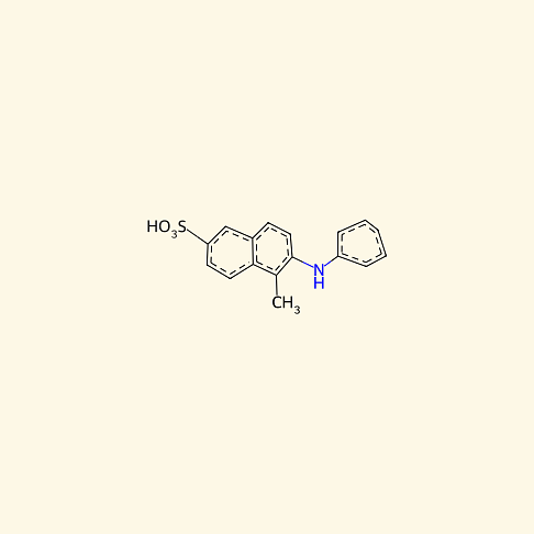 Cc1c(Nc2ccccc2)ccc2cc(S(=O)(=O)O)ccc12